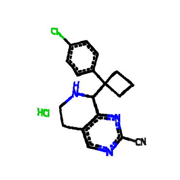 Cl.N#Cc1ncc2c(n1)C(C1(c3ccc(Cl)cc3)CCC1)NCC2